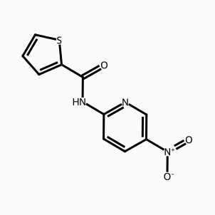 O=C(Nc1ccc([N+](=O)[O-])cn1)c1cccs1